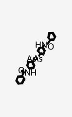 O=C(Nc1ccc([As]=[As]c2ccc(NC(=O)c3ccccc3)cc2)cc1)c1ccccc1